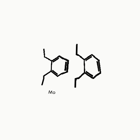 CCc1ccccc1CC.CCc1ccccc1CC.[Mo]